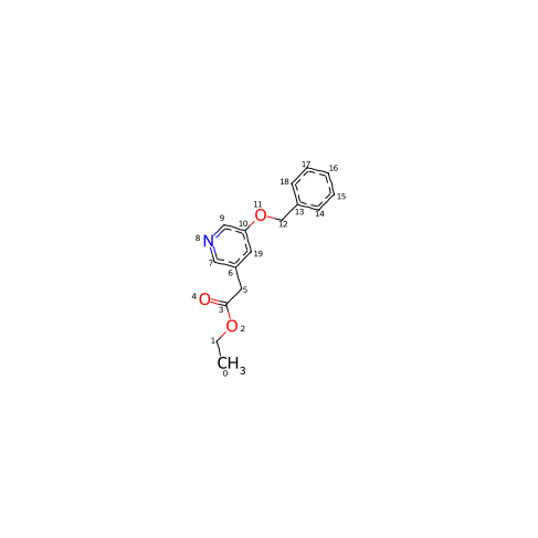 CCOC(=O)Cc1cncc(OCc2ccccc2)c1